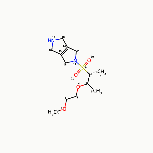 COCCOC(C)[C@@H](C)S(=O)(=O)N1CC2=C(CNC2)C1